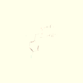 CCCO[SiH](Cc1ccc(F)cc1F)OCCC